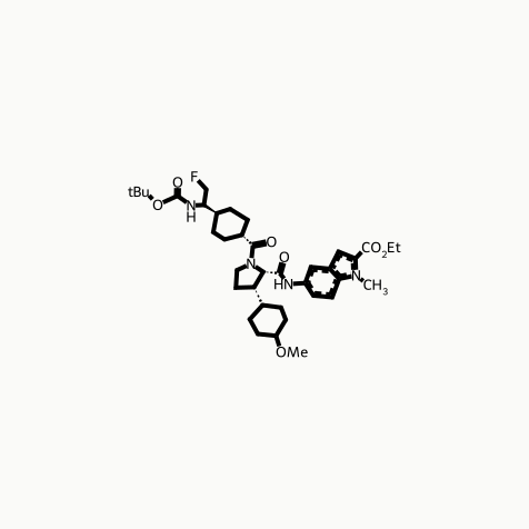 CCOC(=O)c1cc2cc(NC(=O)[C@@H]3[C@H](C4CCC(OC)CC4)CCN3C(=O)[C@H]3CC[C@H](C(CF)NC(=O)OC(C)(C)C)CC3)ccc2n1C